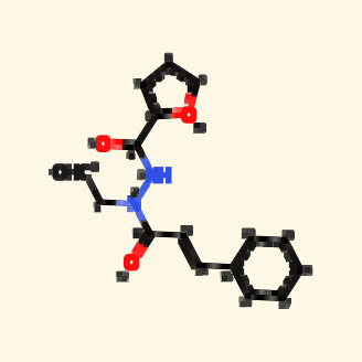 O=[C]CN(NC(=O)c1ccco1)C(=O)C=Cc1ccccc1